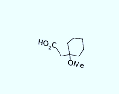 COC1(CC(=O)O)CCCCC1